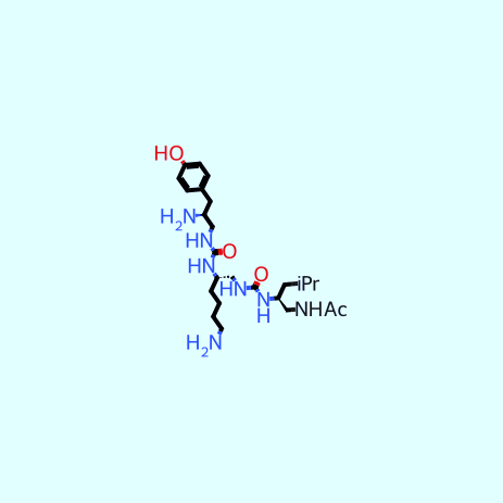 CC(=O)NC[C@H](CC(C)C)NC(=O)NC[C@H](CCCCN)NC(=O)NC[C@@H](N)Cc1ccc(O)cc1